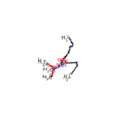 CCCCC/C=C\C/C=C\CCCCCCCCOC(=O)C1CC(NC(=O)CNCC(OCCOCC)[C@H](C)OCCOCC)CN1C(=O)CCCCCCC/C=C\C/C=C\CCCCC